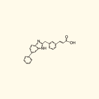 O=C(O)/C=C/c1cccc(Cc2nc3ccc(-c4ccccc4)cc3[nH]2)c1